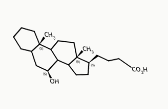 C[C@]12CCCCC1C[C@H](O)C1C2CC[C@@]2(C)C1CC[C@@H]2CCCC(=O)O